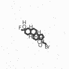 CC12CC[C@H]3[C@@H](CC[C@@H]4C[C@@](O)(CF)CC[C@@H]43)[C@@H]1CC[C@@H]2C(=O)CBr